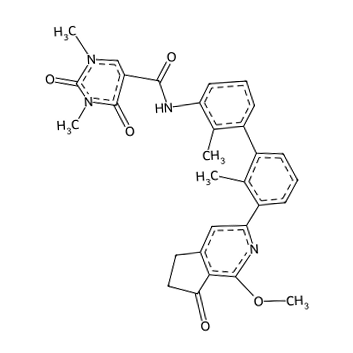 COc1nc(-c2cccc(-c3cccc(NC(=O)c4cn(C)c(=O)n(C)c4=O)c3C)c2C)cc2c1C(=O)CC2